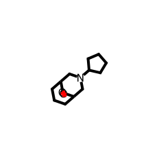 C1CCC(N2CC3CCCC(C2)C32OCCO2)C1